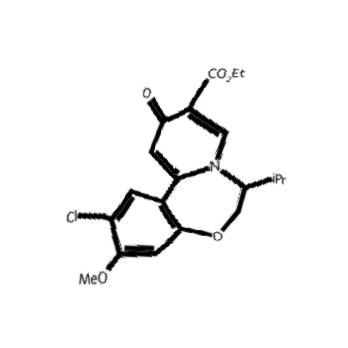 CCOC(=O)c1cn2c(cc1=O)-c1cc(Cl)c(OC)cc1OCC2C(C)C